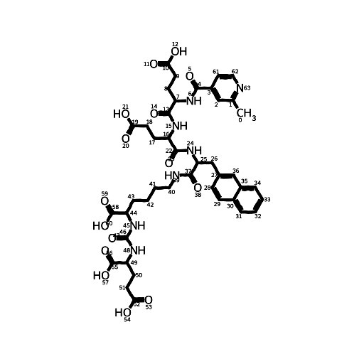 Cc1cc(C(=O)NC(CCC(=O)O)C(=O)NC(CCC(=O)O)C(=O)NC(Cc2ccc3ccccc3c2)C(=O)NCCCCC(NC(=O)NC(CCC(=O)O)C(=O)O)C(=O)O)ccn1